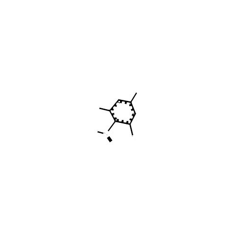 O=[N+]([O-])c1c(Br)cc(Cl)cc1Br